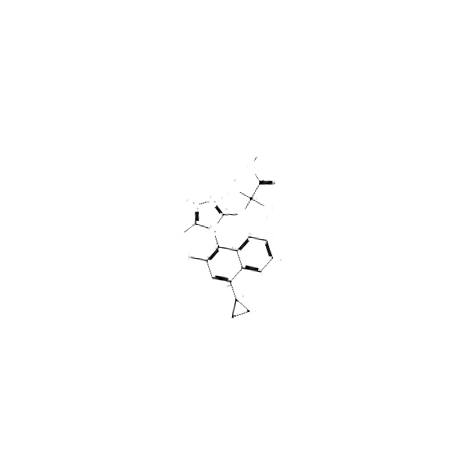 COC(=O)C(C)(C)Sc1nnc(Br)n1-c1c(Cl)cc(C2CC2)c2ccccc12